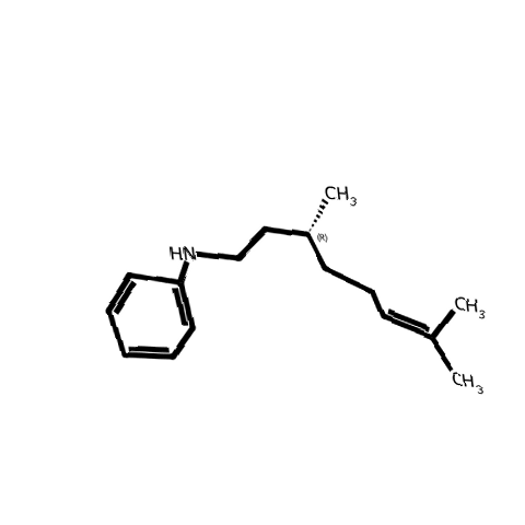 CC(C)=CCC[C@@H](C)CCNc1ccccc1